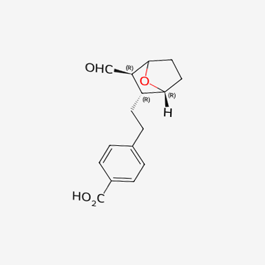 O=C[C@H]1C2CC[C@@H](O2)[C@@H]1CCc1ccc(C(=O)O)cc1